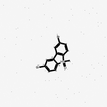 C[SH]1(=O)c2ccc(Br)cc2-c2cc(Br)ccc21